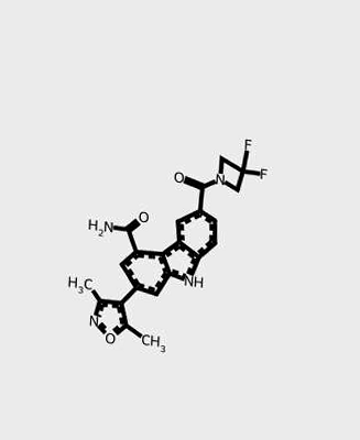 Cc1noc(C)c1-c1cc(C(N)=O)c2c(c1)[nH]c1ccc(C(=O)N3CC(F)(F)C3)cc12